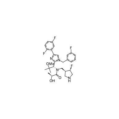 COC(C)(C)[C@H](c1nc(-c2cc(F)ccc2F)cn1Cc1cccc(F)c1)N(C[C@@H]1CNC[C@@H]1F)C(=O)[C@H](C)O